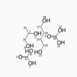 CC(O)CO.O=C(O)O.O=C(O)O.OCCCCO